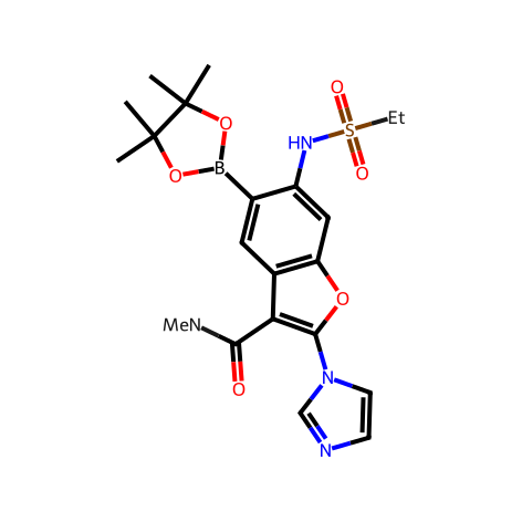 CCS(=O)(=O)Nc1cc2oc(-n3ccnc3)c(C(=O)NC)c2cc1B1OC(C)(C)C(C)(C)O1